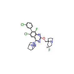 Fc1c(-c2cccc(Cl)c2)c(Cl)cc2c(N3CC4CCC(C3)N4)nc(OC[C@@]34CCCN3C[C@H](F)C4)nc12